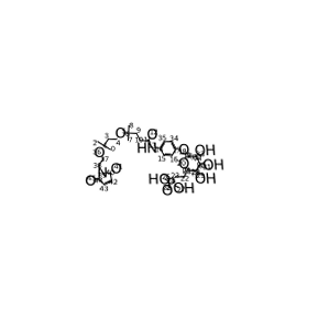 CC(C)(CCOC(C)(C)CCC(=O)Nc1ccc(O[C@H]2O[C@H](CCP(=O)(O)O)[C@@H](O)[C@H](O)[C@@H]2O)cc1)OCCN1C(=O)C=CC1=O